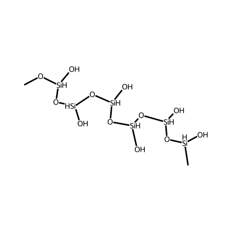 CO[SiH](O)O[SiH](O)O[SiH](O)O[SiH](O)O[SiH](O)O[SiH](C)O